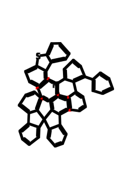 c1ccc(-c2ccccc2-c2c(-c3ccccc3)cccc2N(c2ccc3c(c2)C2(c4ccccc4-c4ccccc42)c2ccccc2-3)c2cccc3sc4ccccc4c23)cc1